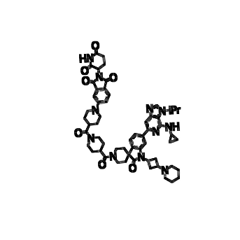 CC(C)n1cnc2cc(-c3ccc4c(c3)N(C3CC(N5CCCCC5)C3)C(=O)C43CCN(C(=O)C4CCN(C(=O)C5CCN(c6ccc7c(c6)C(=O)N([C@@H]6CCC(=O)NC6=O)C7=O)CC5)CC4)CC3)nc(NC3CC3)c21